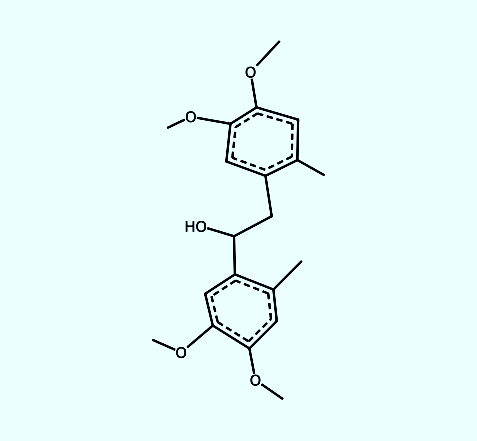 COc1cc(C)c(CC(O)c2cc(OC)c(OC)cc2C)cc1OC